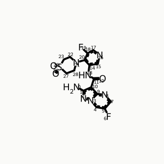 Nc1nn2cc(F)cnc2c1C(=O)Nc1cncc(F)c1N1CCS(=O)(=O)CC1